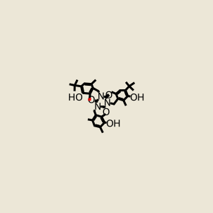 Cc1cc(C)c(Cn2c(=O)n(Cc3c(C)cc(C(C)(C)C)c(O)c3C)c(=O)n(Cc3c(C)cc(C(C)(C)C)c(O)c3C)c2=O)c(C)c1O